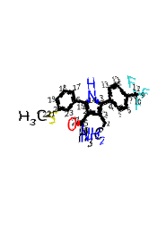 CCc1c(-c2ccc(C(F)(F)F)cc2)[nH]c(-c2cccc(SC)c2)c1C(N)=O